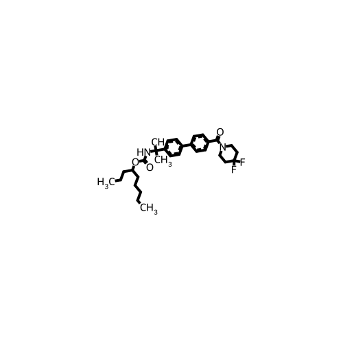 CCCCCC(CCC)OC(=O)NC(C)(C)c1ccc(-c2ccc(C(=O)N3CCC(F)(F)CC3)cc2)cc1